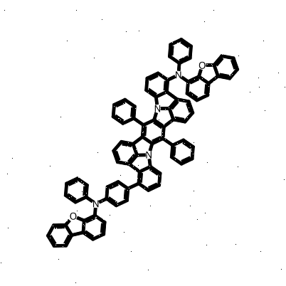 c1ccc(-c2c3c4cccc5c6c(-c7ccc(N(c8ccccc8)c8cccc9c8oc8ccccc89)cc7)cccc6n(c3c(-c3ccccc3)c3c6cccc7c8c(N(c9ccccc9)c9cccc%10c9oc9ccccc9%10)cccc8n(c23)c76)c54)cc1